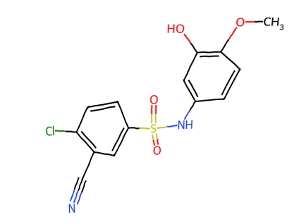 COc1ccc(NS(=O)(=O)c2ccc(Cl)c(C#N)c2)cc1O